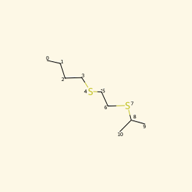 CCCCS[CH]CSC(C)C